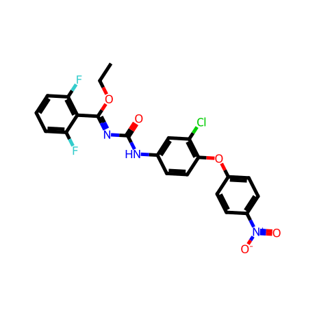 CCO/C(=N\C(=O)Nc1ccc(Oc2ccc([N+](=O)[O-])cc2)c(Cl)c1)c1c(F)cccc1F